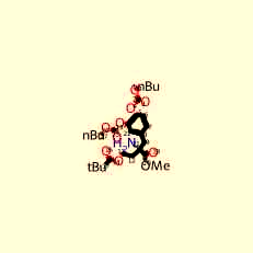 CCCCOC(=O)Oc1ccc(C[C@](N)(CCOC(=O)C(C)(C)C)C(=O)OC)cc1OC(=O)OCCCC